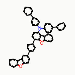 c1ccc(-c2ccc(N(c3ccc(-c4ccccc4)cc3)c3ccc(-c4ccc(-c5ccc6oc7ccccc7c6c5)cc4)c4oc5ccccc5c34)cc2)cc1